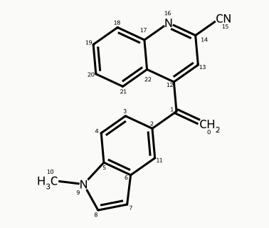 C=C(c1ccc2c(ccn2C)c1)c1cc(C#N)nc2ccccc12